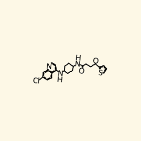 O=C(CCC(=O)c1cccs1)NC1CCC(Nc2ccnc3cc(Cl)ccc23)CC1